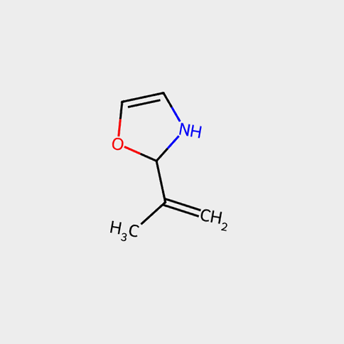 C=C(C)C1NC=CO1